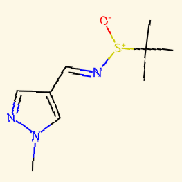 Cn1cc(/C=N/[S+]([O-])C(C)(C)C)cn1